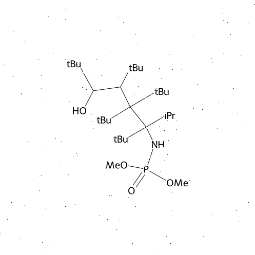 COP(=O)(NC(C(C)C)(C(C)(C)C)C(C(C(O)C(C)(C)C)C(C)(C)C)(C(C)(C)C)C(C)(C)C)OC